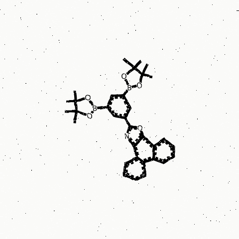 CC1(C)OB(c2cc(B3OC(C)(C)C(C)(C)O3)cc(-c3nc4c5ccccc5c5ccccc5c4o3)c2)OC1(C)C